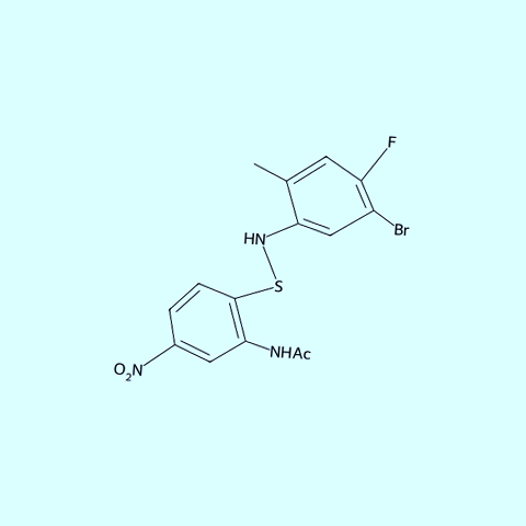 CC(=O)Nc1cc([N+](=O)[O-])ccc1SNc1cc(Br)c(F)cc1C